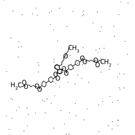 C=CC(=O)OCCCCOC(=O)C1CCC(C2CCC(C(=O)Oc3ccc(OC(=O)C4CCC(C5CCC(C(=O)OCCCCOC(=O)C=C)CC5)CC4)c4c(CCCCOCCCC)cccc34)CC2)CC1